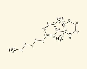 CCCCCCc1ccc(O)c(C2(C)OCCCO2)c1